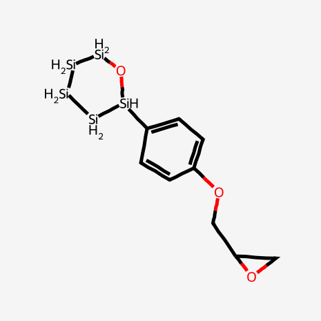 c1cc([SiH]2O[SiH2][SiH2][SiH2][SiH2]2)ccc1OCC1CO1